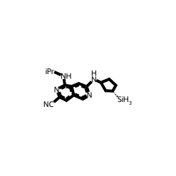 CC(C)Nc1nc(C#N)cc2cnc(NC3CC[C@H]([SiH3])C3)cc12